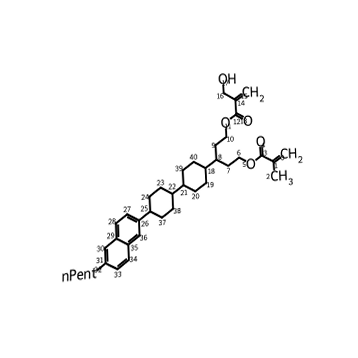 C=C(C)C(=O)OCCC(CCOC(=O)C(=C)CO)C1CCC(C2CCC(c3ccc4cc(CCCCC)ccc4c3)CC2)CC1